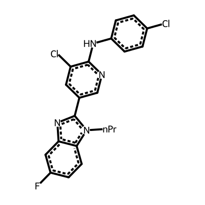 CCCn1c(-c2cnc(Nc3ccc(Cl)cc3)c(Cl)c2)nc2cc(F)ccc21